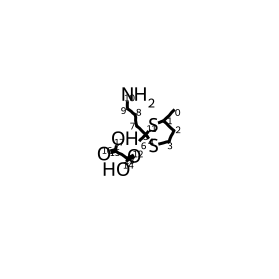 CC1CCSC(C)(CCCN)S1.O=C(O)C(=O)O